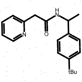 CC(NC(=O)Cc1ccccn1)c1ccc(C(C)(C)C)cc1